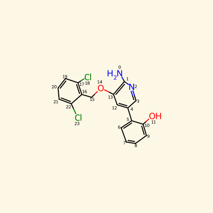 Nc1ncc(-c2ccccc2O)cc1OCc1c(Cl)cccc1Cl